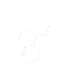 CC(C)NC1CCCc2cccnc21